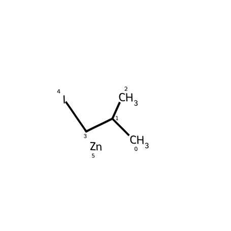 CC(C)CI.[Zn]